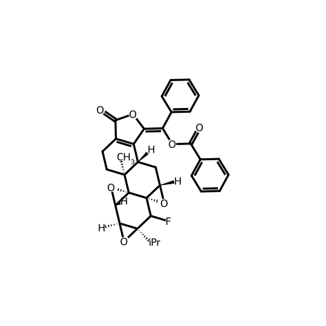 CC(C)[C@]12O[C@H]1[C@@H]1O[C@@]13[C@@]1(C)CCC4=C(/C(=C(\OC(=O)c5ccccc5)c5ccccc5)OC4=O)[C@@H]1C[C@@H]1O[C@@]13C2F